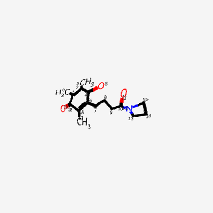 CC1=C(C)C(=O)C(CCCC(=O)N2CCC2)=C(C)C1=O